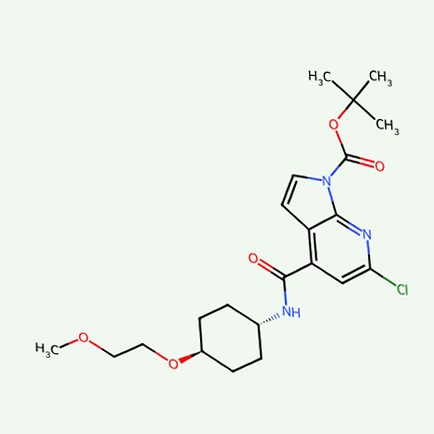 COCCO[C@H]1CC[C@H](NC(=O)c2cc(Cl)nc3c2ccn3C(=O)OC(C)(C)C)CC1